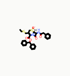 CCSCC1=C(C(=O)OC(c2ccccc2)c2ccccc2)N2C(=O)C(NC(=O)Cc3ccccc3)[C@H]2[S+]([O-])C1